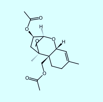 CC(=O)OC[C@]12CCC(C)=C[C@H]1O[C@@H]1[C@H](OC(C)=O)C[C@@]2(C)C12CO2